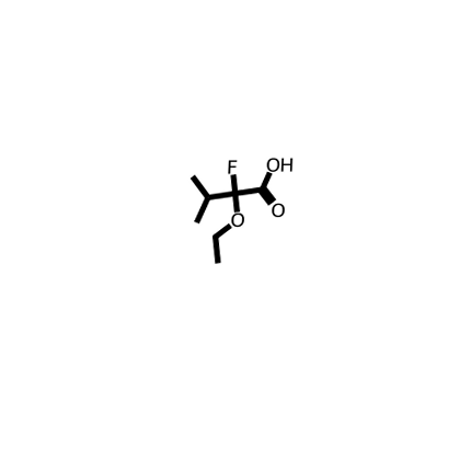 CCOC(F)(C(=O)O)C(C)C